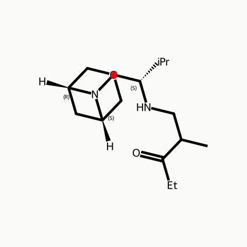 CCC(=O)C(C)CN[C@H](CN1[C@@H]2COC[C@H]1C2)C(C)C